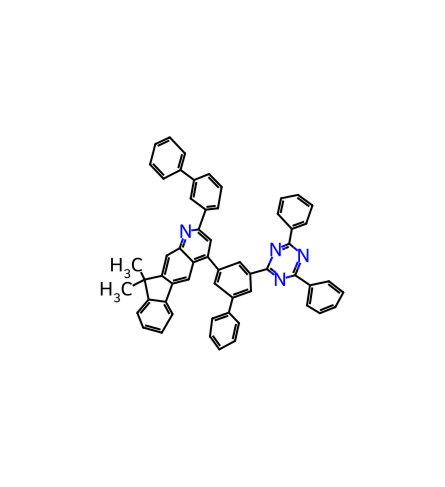 CC1(C)c2ccccc2-c2cc3c(-c4cc(-c5ccccc5)cc(-c5nc(-c6ccccc6)nc(-c6ccccc6)n5)c4)cc(-c4cccc(-c5ccccc5)c4)nc3cc21